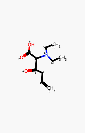 C=CCC(=O)C(C(=O)O)N(CC)CC